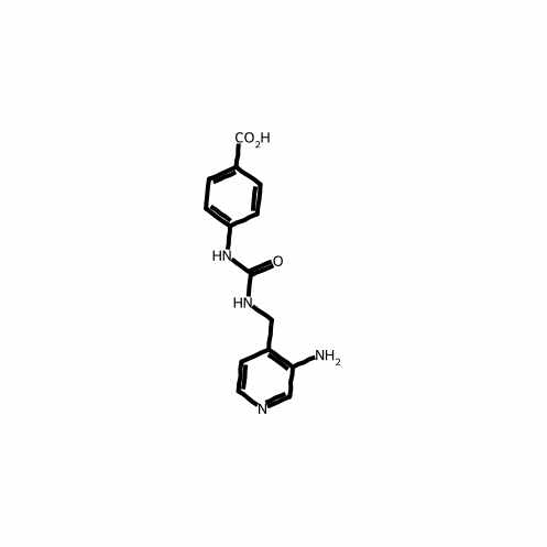 Nc1cnccc1CNC(=O)Nc1ccc(C(=O)O)cc1